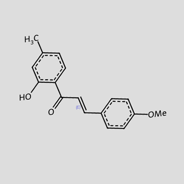 COc1ccc(/C=C/C(=O)c2ccc(C)cc2O)cc1